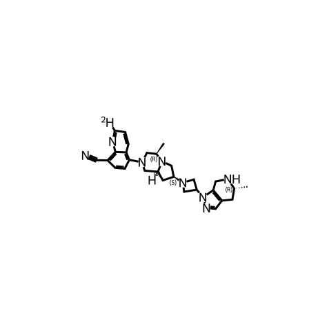 [2H]c1ccc2c(N3C[C@@H]4C[C@H](N5CC(n6ncc7c6CN[C@H](C)C7)C5)CN4[C@H](C)C3)ccc(C#N)c2n1